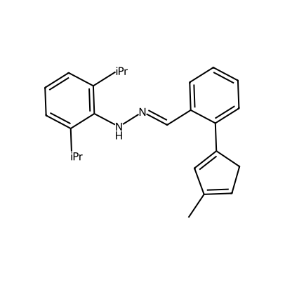 CC1=CCC(c2ccccc2C=NNc2c(C(C)C)cccc2C(C)C)=C1